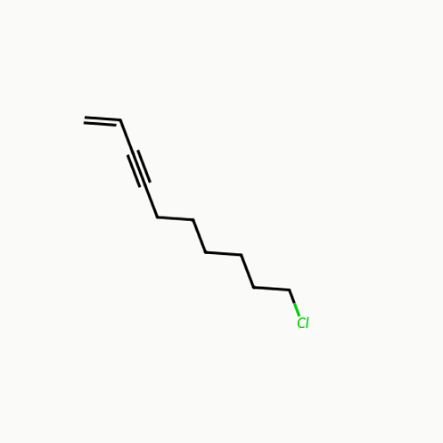 C=CC#CCCCCCCCl